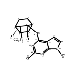 CCOC(=O)[C@H]1C2CCC(CC2)[C@@H]1Nc1nc(Cl)nc2c1ccn2C(C)C